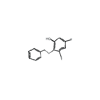 Oc1cc(F)cc(F)c1OCc1ccccc1